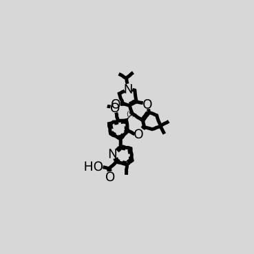 COc1ccc(-c2ccc(C)c(C(=O)O)n2)c(C)c1[C@@H]1C2=C(CN(C(C)C)CC2=O)OC2=C1C(=O)CC(C)(C)C2